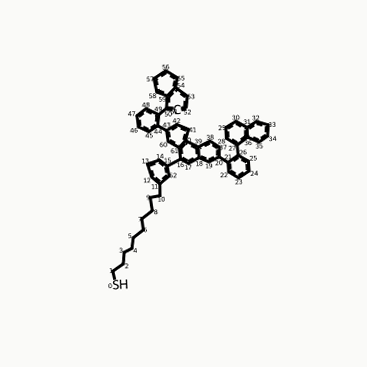 SCCCCCCCCCCc1cccc(-c2cc3cc(-c4ccccc4-c4cccc5ccccc45)ccc3c3ccc(-c4ccccc4-c4cccc5ccccc45)cc23)c1